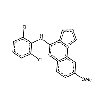 COc1ccc2nc(Nc3c(Cl)cccc3Cl)c3cncn3c2c1